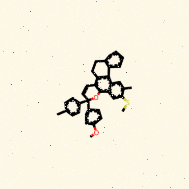 COc1ccc(C2(c3ccc(C)cc3)C=Cc3c4c(c5cc(C)c(SC)cc5c3O2)-c2ccccc2CC4)cc1